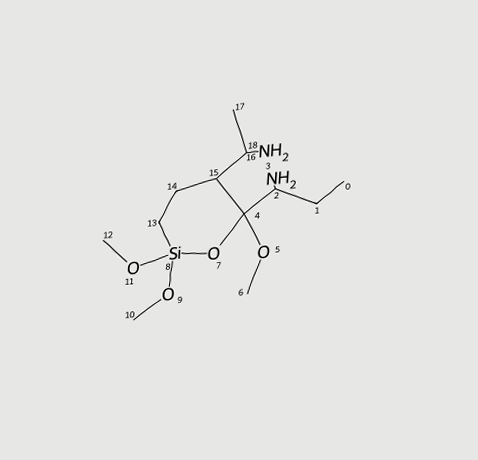 CCC(N)C1(OC)O[Si](OC)(OC)CCC1C(C)N